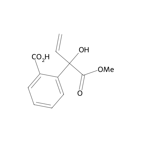 C=CC(O)(C(=O)OC)c1ccccc1C(=O)O